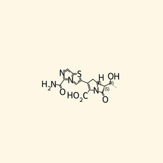 C[C@@H](O)[C@H]1C(=O)N2C(C(=O)O)=C(c3cn4c(C(N)=O)ncc4s3)C[C@H]12